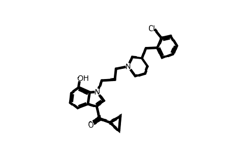 O=C(c1cn(CCCN2CCCC(Cc3ccccc3Cl)C2)c2c(O)cccc12)C1CC1